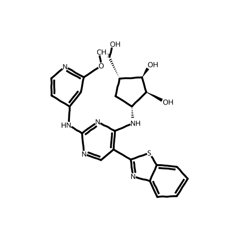 COc1cc(Nc2ncc(-c3nc4ccccc4s3)c(N[C@@H]3C[C@H](CO)[C@@H](O)[C@H]3O)n2)ccn1